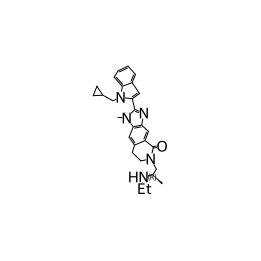 CCN[C@H](C)CN1CCc2cc3c(cc2C1=O)nc(-c1cc2ccccc2n1CC1CC1)n3C